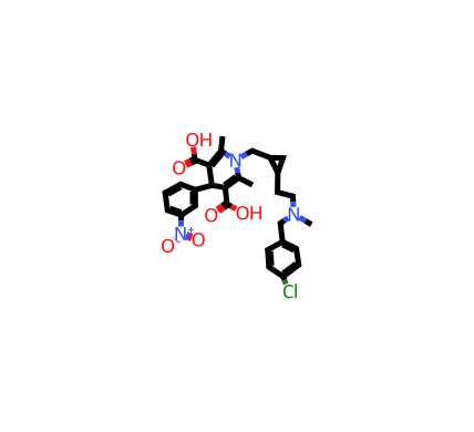 CC1=C(C(=O)O)C(c2cccc([N+](=O)[O-])c2)C(C(=O)O)=C(C)N1CC1CC1CCN(C)Cc1ccc(Cl)cc1